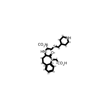 O=C(O)CN1C(=O)C(N[C@@H](CSCC2CCNCC2)C(=O)O)CCc2ccccc21